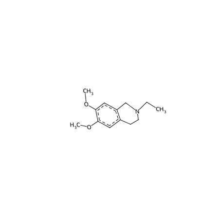 CCN1CCc2cc(OC)c(OC)cc2C1